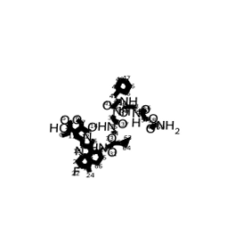 CC[C@@]1(O)C(=O)OCc2c1cc1n(c2=O)Cc2c-1nc1cc(F)c(C)c3c1c2[C@@H](NC(=O)[C@H](OCNC(=O)CNC(=O)[C@H](Cc1ccccc1)NC(=O)CNC(=O)COC(N)=O)C1CC1)CC3